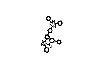 c1ccc(-c2cccc(-c3nc4ccccc4c4nnc(-c5ccc(-c6ccc(-c7nc(-c8ccccc8)nc(-c8ccccc8)n7)cc6)cc5)n34)c2)cc1